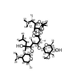 CC[C@@H](OC(=O)[C@H](C)[C@@H](O[C@H]1C[C@@](C)(OC)[C@@H](O)[C@H](C)O1)[C@H](C)[C@@H](O[C@H]1CC(N(C)C)C[C@@H](C)O1)C(C)(O)CC(C)C)[C@@](C)(O)[C@H](OC(C)=O)[C@@H](C)N(C)C